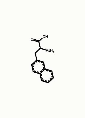 O=C(O)C([AsH2])Cc1ccc2ccccc2c1